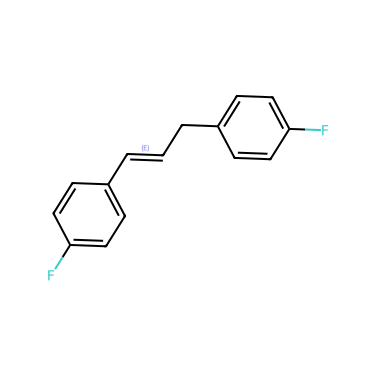 Fc1ccc(/C=C/Cc2ccc(F)cc2)cc1